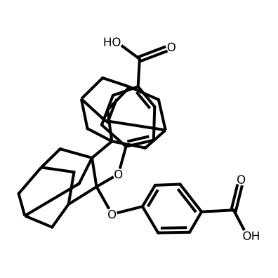 O=C(O)c1ccc(OC2(Oc3ccc(C(=O)O)cc3)C3CC4CC(C3)CC2(C23CC5CC(CC(C5)C2)C3)C4)cc1